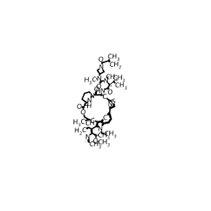 C=C/C(=C(\N=C/C)[C@H](C)OC)c1c2c3cc(ccc3n1CC)-c1csc(n1)C[C@H](NC(=O)[C@H](C(C)C)N(C)C(=O)N(C)C1CN(C(=O)C(=C)C)C1)C(=O)N1CCC[C@H](N1)C(=O)OCC(C)(C)C2